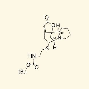 CC(C)(C)OC(=O)NCCSC1CC2=CC(=O)OC23C[C@@H]1N1CCCC[C@@H]13